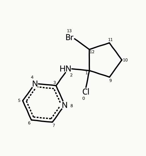 ClC1(Nc2ncccn2)CCCC1Br